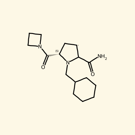 NC(=O)C1[CH]C[C@@H](C(=O)N2CCC2)N1CC1CCCCC1